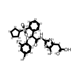 O=C(O)Cc1nc(NC(=O)C(Oc2ccc(F)cc2F)c2ccccc2S(=O)(=O)C2CCCC2)sc1F